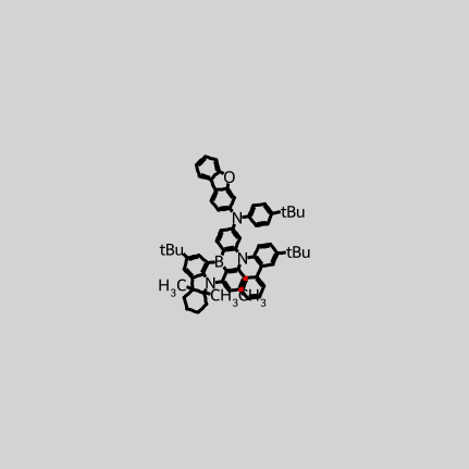 Cc1cc2c3c(c1)N1c4c(cc(C(C)(C)C)cc4C4(C)CCCCC14C)B3c1ccc(N(c3ccc(C(C)(C)C)cc3)c3ccc4c(c3)oc3ccccc34)cc1N2c1ccc(C(C)(C)C)cc1-c1ccccc1